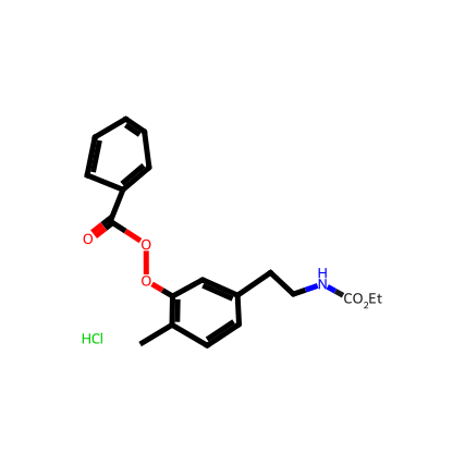 CCOC(=O)NCCc1ccc(C)c(OOC(=O)c2ccccc2)c1.Cl